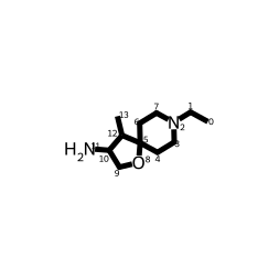 CCN1CCC2(CC1)OCC(N)C2C